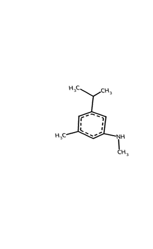 CNc1cc(C)cc(C(C)C)c1